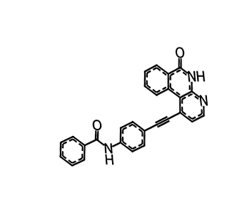 O=C(Nc1ccc(C#Cc2ccnc3[nH]c(=O)c4ccccc4c23)cc1)c1ccccc1